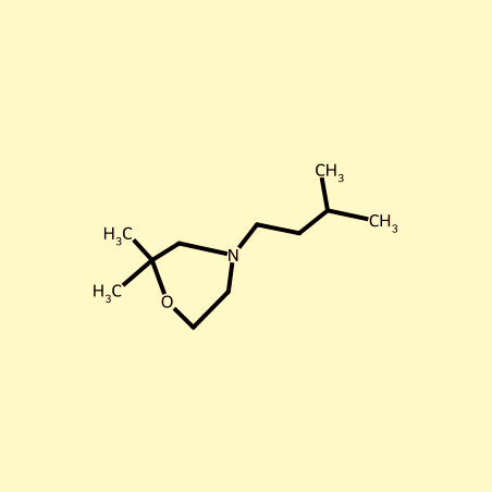 CC(C)CCN1CCOC(C)(C)C1